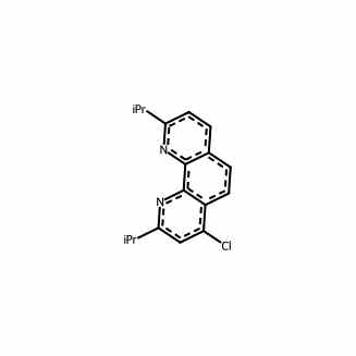 CC(C)c1ccc2ccc3c(Cl)cc(C(C)C)nc3c2n1